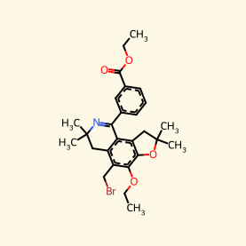 CCOC(=O)c1cccc(C2=NC(C)(C)Cc3c(CBr)c(OCC)c4c(c32)CC(C)(C)O4)c1